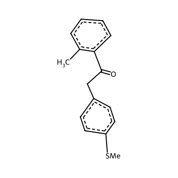 CSc1ccc(CC(=O)c2ccccc2C)cc1